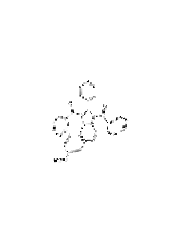 COc1ccc2c(ccc3c(C(=O)c4ccccc4)c(-c4ccccc4)c(C(=O)c4ccccc4)n32)c1